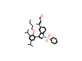 CCCCOc1c(-c2cn(S(=O)(=O)c3ccccc3)c3ccc(/C(C)=C/C=O)cc23)cc(C(C)C)cc1C(C)C